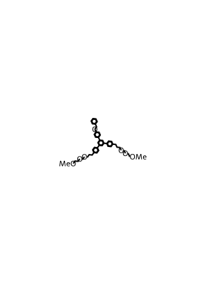 COCCOCOCCCc1ccc(-c2cc(-c3ccc(CCCOCOCCOC)cc3)cc(-c3ccc(OCc4ccccc4)cc3)c2)cc1